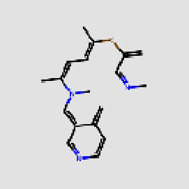 C=C(/C=N\C)S/C(C)=C/C=C(/C)N(C)/C=c1/cnccc1=C